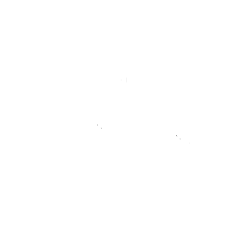 CC1CCCN(c2c(F)cc(CN)cc2CC(F)(F)F)CC1